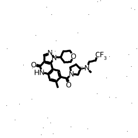 Cc1cc2[nH]c(=O)c3cnn(C4CCOCC4)c3c2cc1C(=O)N1CC[C@@H](N(C)CCC(F)(F)F)C1